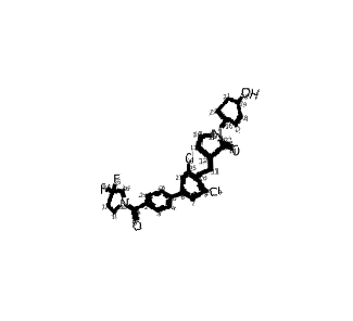 O=C(c1ccc(-c2cc(Cl)c(CC3CCN(C4CCC(O)CC4)C3=O)c(Cl)c2)cc1)N1CCC(F)(F)C1